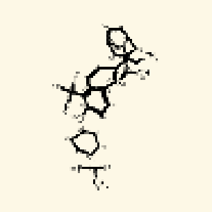 CCC(c1ccc2c(C(F)(F)F)c(O[C@H]3CC[C@@H](C(C)(F)F)CC3)ccc2c1)N1C2CCC1CC(C(=O)O)C2